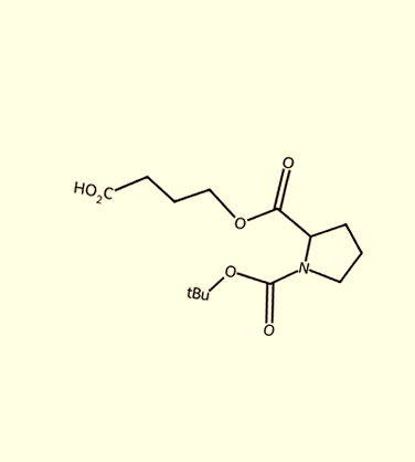 CC(C)(C)OC(=O)N1CCCC1C(=O)OCCCC(=O)O